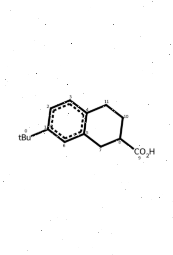 CC(C)(C)c1ccc2c(c1)CC(C(=O)O)CC2